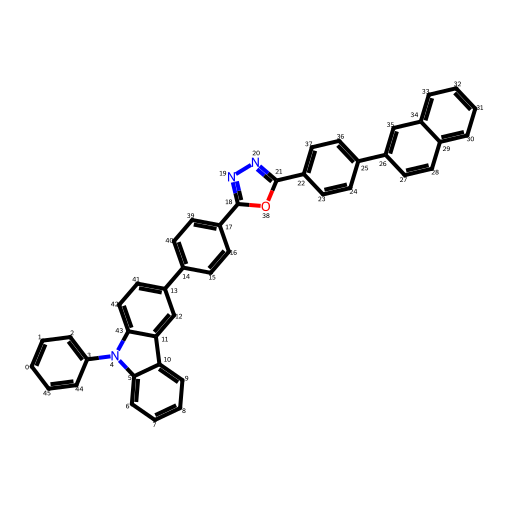 c1ccc(-n2c3ccccc3c3cc(-c4ccc(-c5nnc(-c6ccc(-c7ccc8ccccc8c7)cc6)o5)cc4)ccc32)cc1